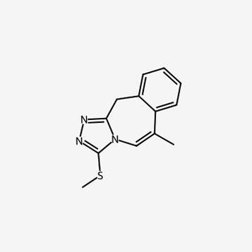 CSc1nnc2n1C=C(C)c1ccccc1C2